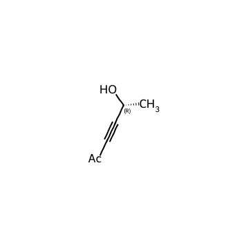 CC(=O)C#C[C@@H](C)O